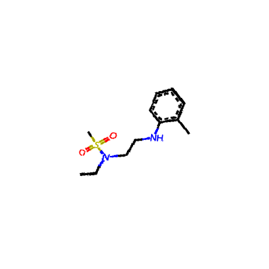 CCN(CCNc1ccccc1C)S(C)(=O)=O